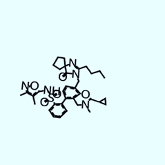 CCCCC1=NC2(CCCC2)C(=O)N1Cc1ccc(-c2ccccc2S(=O)(=O)Nc2onc(C)c2C)c(CN(C)C(=O)C2CC2)c1